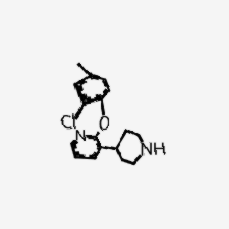 Cc1ccc(Oc2ncccc2C2CCNCC2)c(Cl)c1